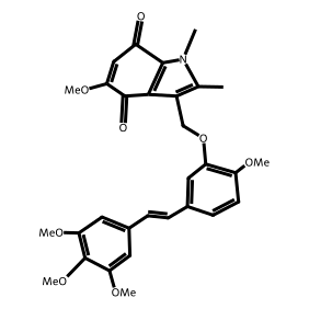 COC1=CC(=O)c2c(c(COc3cc(C=Cc4cc(OC)c(OC)c(OC)c4)ccc3OC)c(C)n2C)C1=O